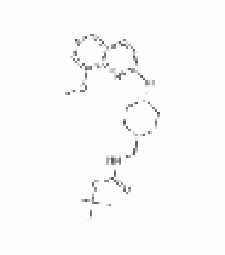 COc1nccc2ccc(N[C@H]3CC[C@H](CNC(=O)OC(C)(C)C)CC3)nc12